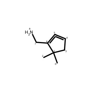 CC1(C)CC=C=C1CN